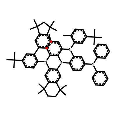 Cc1cc2c3c(c1)N(c1ccc(C(C)(C)C)cc1-c1ccc4c(c1)C(C)(C)CC4(C)C)c1cc4c(cc1B3c1ccc(N(c3ccccc3)c3ccccc3)cc1N2c1cc(C(C)(C)C)ccc1C)C(C)(C)CCC4(C)C